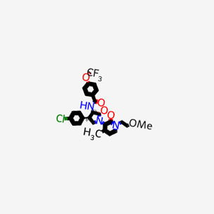 COCCn1ccc(C)c(N2C[C@@H](c3ccc(Cl)cc3)[C@H](NC(=O)c3ccc(OC(F)(F)F)cc3)C2=O)c1=O